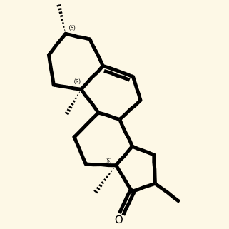 CC1CC2C3CC=C4C[C@@H](C)CC[C@]4(C)C3CC[C@]2(C)C1=O